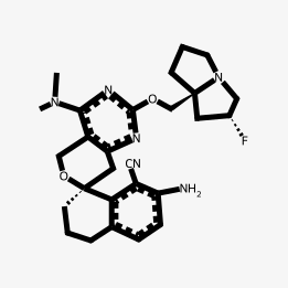 CN(C)c1nc(OC[C@@]23CCCN2C[C@H](F)C3)nc2c1CO[C@@]1(CCCc3ccc(N)c(C#N)c31)C2